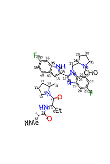 CCC(NC(=O)CNC)C(=O)N1CCCC1Cc1c(-c2nc3cc(F)ccc3n2CC2CCCN2C=O)[nH]c2cc(F)ccc12